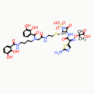 CC(C)(O/N=C(\C(=O)N[C@@H]1C(=O)N(S(=O)(=O)O)[C@H]1CSCCNC(=O)CN(CCCCNC(=O)c1cccc(O)c1O)C(=O)c1cccc(O)c1O)c1cnc(N)s1)C(=O)O